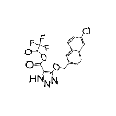 O=C(OC(=O)C(F)(F)F)c1[nH]nnc1OCc1ccc2cc(Cl)ccc2c1